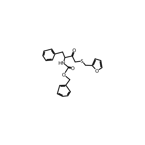 O=C(NC(Cc1ccccc1)C(=O)CSCc1ccco1)OCc1ccccc1